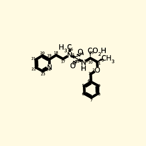 C[C@@H](OCc1ccccc1)[C@H](NS(=O)(=O)N(C)CCc1ccccn1)C(=O)O